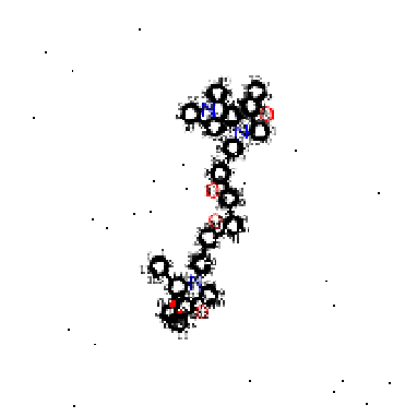 c1ccc(-c2cc(-c3ccccc3)cc(N(c3ccc(-c4ccc5oc6c(-c7ccc8c(c7)oc7ccc(-c9ccc(N(c%10ccc(-c%11ccccc%11-n%11c%12ccccc%12c%12ccccc%12%11)cc%10)c%10cccc%11oc%12c%13ccccc%13ccc%12c%10%11)cc9)cc78)cccc6c5c4)cc3)c3cccc4oc5c6ccccc6ccc5c34)c2)cc1